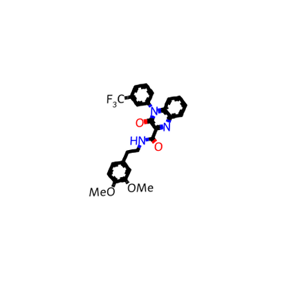 COc1ccc(CCNC(=O)c2nc3ccccc3n(-c3cccc(C(F)(F)F)c3)c2=O)cc1OC